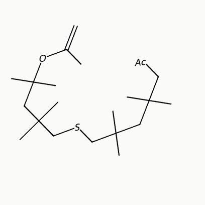 C=C(C)OC(C)(C)CC(C)(C)CSCC(C)(C)CC(C)(C)CC(C)=O